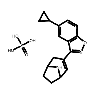 C1=C(c2noc3ccc(C4CC4)cc23)CC2CCC1N2.O=P(O)(O)O